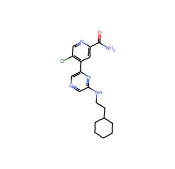 NC(=O)c1cc(-c2cncc(NCCC3CCCCC3)n2)c(Cl)cn1